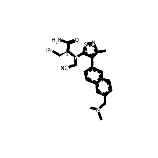 Cc1nsc(N(CC#N)[C@@H](CC(C)C)C(N)=O)c1-c1ccc2cc(CN(C)C)ccc2c1